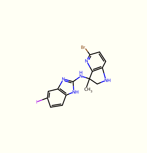 CC1(Nc2nc3cc(I)ccc3[nH]2)CNc2ccc(Br)nc21